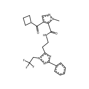 Cn1ncc(C(=O)N2CCC2)c1C(=O)NCCc1nc(-c2ccccc2)nn1CC(F)(F)F